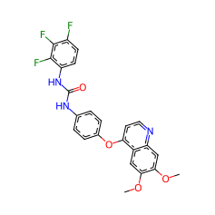 COc1cc2nccc(Oc3ccc(NC(=O)Nc4ccc(F)c(F)c4F)cc3)c2cc1OC